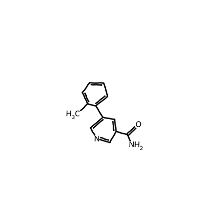 Cc1ccccc1-c1cncc(C(N)=O)c1